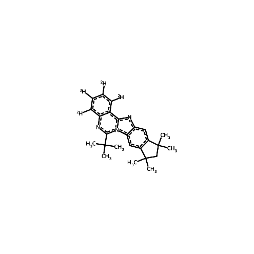 [2H]c1c([2H])c([2H])c2c(nc(C(C)(C)C)n3c4cc5c(cc4nc23)C(C)(C)CC5(C)C)c1[2H]